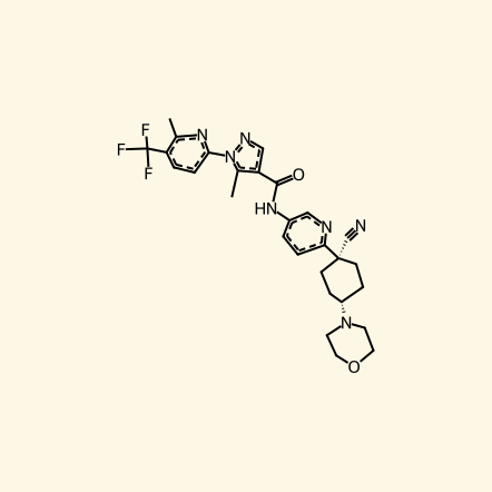 Cc1nc(-n2ncc(C(=O)Nc3ccc([C@]4(C#N)CC[C@@H](N5CCOCC5)CC4)nc3)c2C)ccc1C(F)(F)F